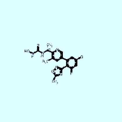 Cc1nc(-c2c(F)cc(Cl)cc2-c2cnc([C@@H](C)NC(=O)NO)c(C)c2)no1